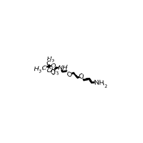 CC(C)(C)OC(=O)NCCOCCOCCCN